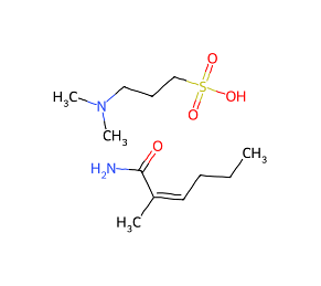 CCCC=C(C)C(N)=O.CN(C)CCCS(=O)(=O)O